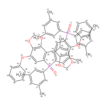 Cc1cc(C)cc(P(=O)(c2cc(C)cc(C)c2)c2cc(-c3c(P(=O)(c4cc(C)cc(C)c4)c4cc(C)cc(C)c4)cc(Oc4ccccc4)c4c3OCO4)c3c(c2Oc2ccccc2)OCO3)c1